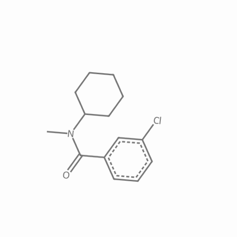 CN(C(=O)c1cccc(Cl)c1)C1CCCCC1